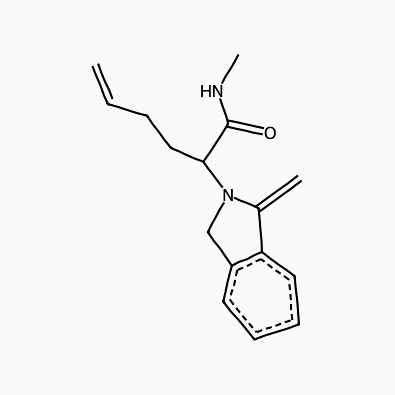 C=CCCC(C(=O)NC)N1Cc2ccccc2C1=C